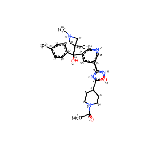 COC(=O)N1CCC(c2nc(-c3cncc(C(O)(c4ccc(C(C)C)cc4)C4(C)CN(C)C4)c3)no2)CC1